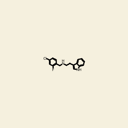 Fc1cc(Cl)ccc1CNCCc1c[nH]c2ccccc12